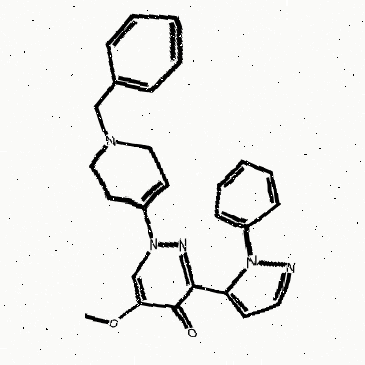 COc1cn(C2=CCN(Cc3ccccc3)CC2)nc(-c2ccnn2-c2ccccc2)c1=O